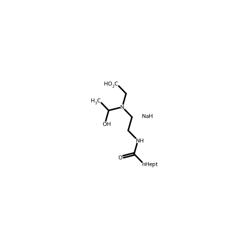 CCCCCCCC(=O)NCCN(CC(=O)O)C(C)O.[NaH]